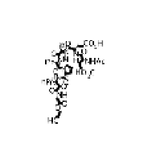 C#CCOC(=O)CNC(=O)C(=O)[C@H](CCC)NC(=O)[C@@H]1CCCN1C(=O)[C@@H](NC(=O)[C@@H](NC(=O)[C@H](CCC(=O)O)NC(=O)[C@H](CCC(=O)O)NC(C)=O)C(C)C)C(C)C